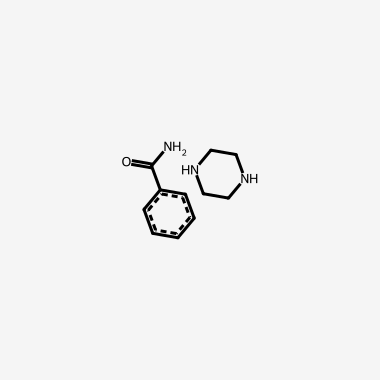 C1CNCCN1.NC(=O)c1ccccc1